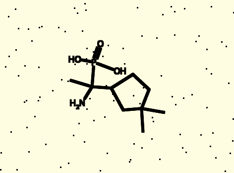 CC1(C)CCC(C(C)(N)P(=O)(O)O)C1